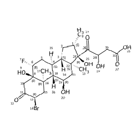 C[C@H]1C[C@H]2[C@@H]3C[C@@H](F)[C@@]4(O)CC(=O)[C@H](Br)C[C@]4(C)[C@H]3[C@H](O)C[C@]2(C)[C@@]1(O)C(=O)C(O)CC(=O)O